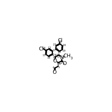 CN1C(=O)[C@@H](CC=O)O[C@H](c2ccc(Cl)cc2)[C@@H]1c1ccc(Cl)cc1